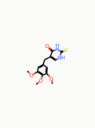 COc1cc(Cc2c[nH]c(=S)[nH]c2=O)cc(OC)c1OC